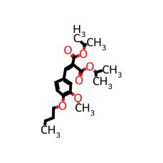 CCCCOc1ccc(C=C(C(=O)OC(C)C)C(=O)OC(C)C)cc1OC